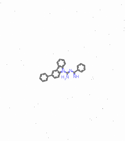 N=C(/N=C(\N)n1c2ccccc2c2cc(-c3ccccc3)ccc21)c1ccccc1